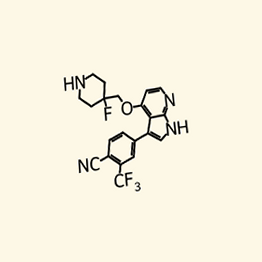 N#Cc1ccc(-c2c[nH]c3nccc(OCC4(F)CCNCC4)c23)cc1C(F)(F)F